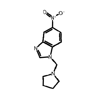 O=[N+]([O-])c1ccc2c(c1)ncn2CN1CCCC1